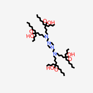 CCCCCCC(CCCC)(CCCCN(CCCCC(CCCC)(CCCCCC)C(=O)O)CCN1CCN(CCN(CCCCC(CCCC)(CCCCCC)C(=O)O)CCCCC(CCCC)(CCCCCC)C(=O)O)CC1)C(=O)O